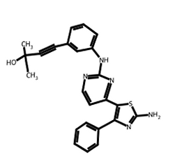 CC(C)(O)C#Cc1cccc(Nc2nccc(-c3sc(N)nc3-c3ccccc3)n2)c1